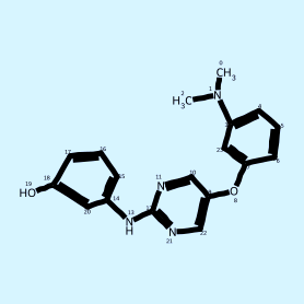 CN(C)c1cccc(Oc2cnc(Nc3cccc(O)c3)nc2)c1